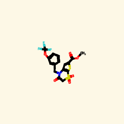 COC(=O)c1cc2c(s1)S(=O)(=O)CC(=O)N2Cc1cccc(OC(F)(F)F)c1